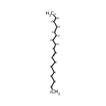 CCCCCCCC[CH]CCCCCCCCC